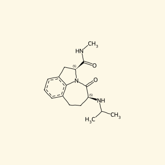 CNC(=O)[C@@H]1Cc2cccc3c2N1C(=O)[C@@H](NC(C)C)CC3